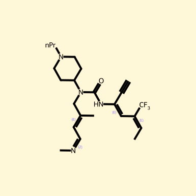 C#C/C(=C\C(=C/C)C(F)(F)F)NC(=O)N(C/C(C)=C/C=N\C)C1CCN(CCC)CC1